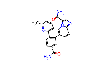 Cc1cccc(-c2ccc(C(N)=O)cc2-c2ccc3ncc(C(N)=O)n3c2)n1